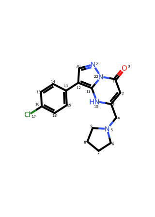 O=c1cc(CN2CCCC2)[nH]c2c(-c3ccc(Cl)cc3)cnn12